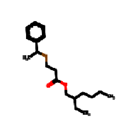 CCCCC(CC)COC(=O)CCSC(C)c1ccccc1